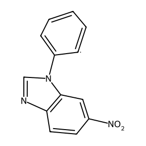 O=[N+]([O-])c1ccc2ncn(-c3[c]cccc3)c2c1